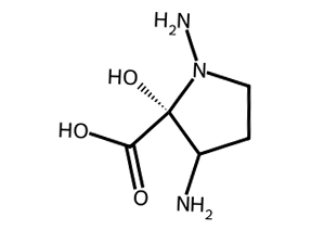 NC1CCN(N)[C@]1(O)C(=O)O